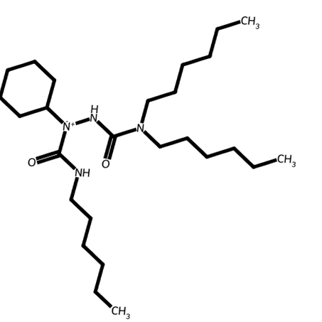 CCCCCCNC(=O)[N+](NC(=O)N(CCCCCC)CCCCCC)C1CCCCC1